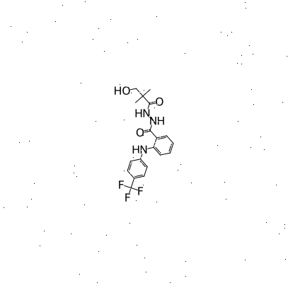 CC(C)(CO)C(=O)NNC(=O)c1ccccc1Nc1ccc(C(F)(F)F)cc1